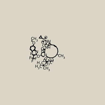 CCOc1ccc2nc(C(F)(F)F)c(O[C@@H]3C[C@H]4C(=O)N[C@]5(C(=O)NS(=O)(=O)C6CC6)CC5/C=C\CC[C@@H](C)C[C@@H](CC)[C@H](NC(=O)OC(C)(C)C)C(=O)N4C3)nc2c1